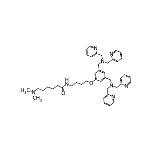 CN(C)CCCCCC(=O)NCCCCOc1cc(CN(Cc2ccccn2)Cc2ccccn2)cc(CN(Cc2ccccn2)Cc2ccccn2)c1